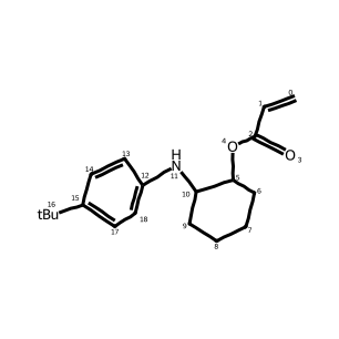 C=CC(=O)OC1CCCCC1Nc1ccc(C(C)(C)C)cc1